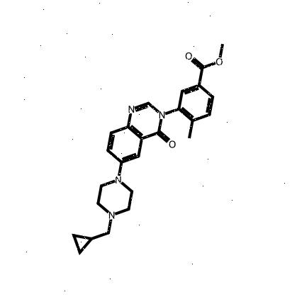 COC(=O)c1ccc(C)c(-n2cnc3ccc(N4CCN(CC5CC5)CC4)cc3c2=O)c1